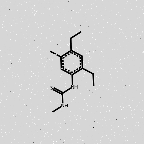 CCc1cc(CC)c(NC(=S)NC)cc1C